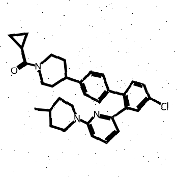 CC1CCN(c2cccc(-c3cc(Cl)ccc3-c3ccc(C4CCN(C(=O)C5CC5)CC4)cc3)n2)CC1